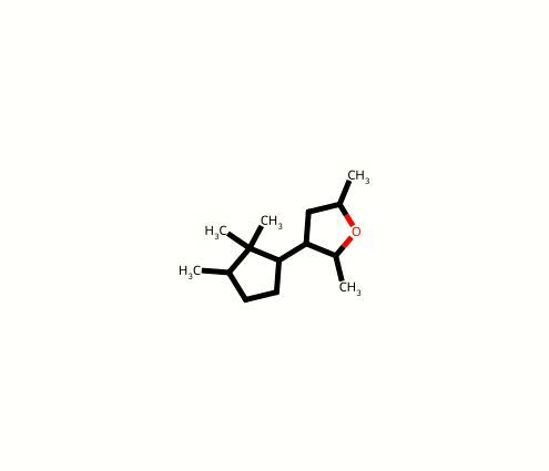 CC1CC(C2CCC(C)C2(C)C)C(C)O1